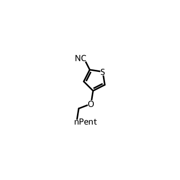 CCCCCCOc1csc(C#N)c1